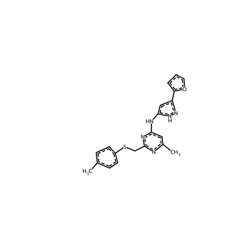 Cc1ccc(SCc2nc(C)cc(Nc3cc(-c4ccco4)n[nH]3)n2)cc1